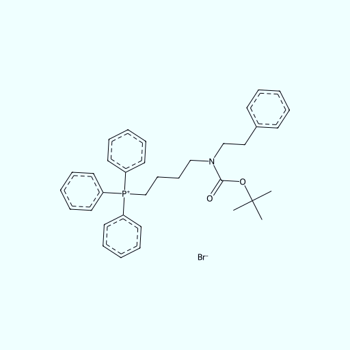 CC(C)(C)OC(=O)N(CCCC[P+](c1ccccc1)(c1ccccc1)c1ccccc1)CCc1ccccc1.[Br-]